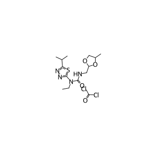 CCN(C(=O)NCC1OCC(C)O1)c1nnc(C(C)C)s1.O=C(Cl)Cl